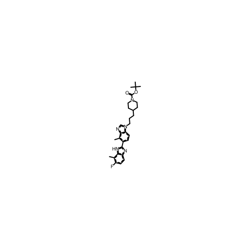 Cc1c(-c2nc3ccc(F)c(C)c3[nH]2)ccc2c1ncn2CCCC1CCN(C(=O)OC(C)(C)C)CC1